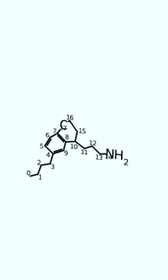 CCCCc1ccc2c(c1)C(CCCN)CCC2